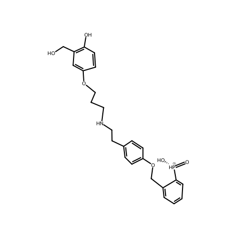 O=[P@@H](O)c1ccccc1COc1ccc(CCNCCCOc2ccc(O)c(CO)c2)cc1